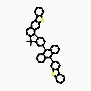 CC1(C)c2cc(-c3c4ccccc4c(-c4ccc5c(c4)sc4ccccc45)c4ccccc34)ccc2-c2c1ccc1cc3c(cc21)sc1ccccc13